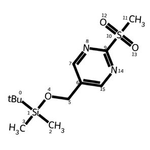 CC(C)(C)[Si](C)(C)OCc1cnc(S(C)(=O)=O)nc1